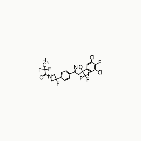 CC(F)(F)C(=O)N1CC(F)(c2ccc(C3=NOC(c4cc(Cl)c(F)c(Cl)c4)(C(F)(F)F)C3)cc2)C1